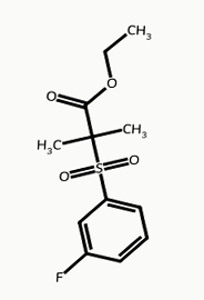 CCOC(=O)C(C)(C)S(=O)(=O)c1cccc(F)c1